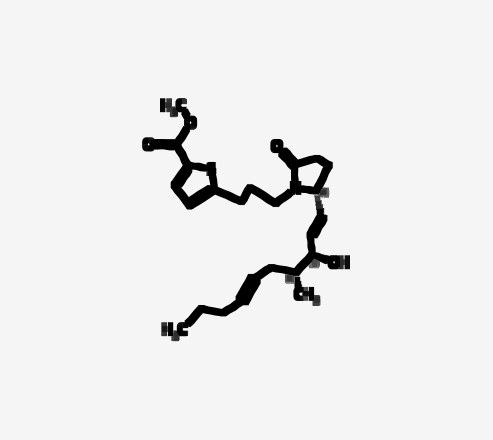 CCCC#CC[C@@H](C)[C@H](O)C=C[C@H]1CCC(=O)N1CCCc1ccc(C(=O)OC)s1